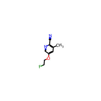 Cc1cc(OCCF)cnc1C#N